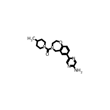 CC1CCN(C(=O)N2CCOc3ccc(-c4cnc(N)cn4)cc3C2)CC1